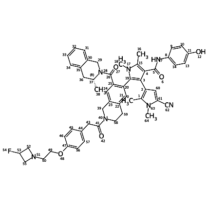 Cc1c(-c2c(C(=O)Nc3ccc(O)cc3)c(C)n(C)c2-c2cc3c(cc2C(=O)N2Cc4ccccc4C[C@H]2C)CN(C(=O)Cc2ccc(OCCN4CC(F)C4)cc2)CC3)cc(C#N)n1C